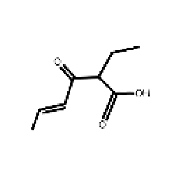 CC=CC(=O)C(CC)C(=O)O